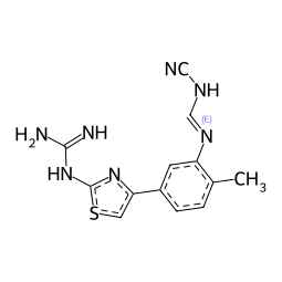 Cc1ccc(-c2csc(NC(=N)N)n2)cc1/N=C/NC#N